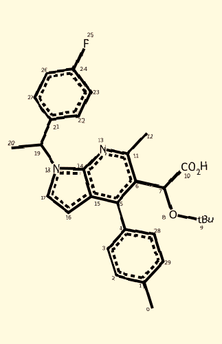 Cc1ccc(-c2c(C(OC(C)(C)C)C(=O)O)c(C)nc3c2ccn3C(C)c2ccc(F)cc2)cc1